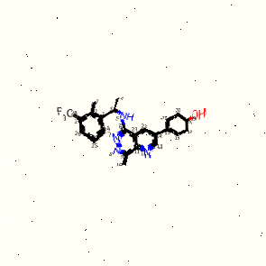 Cc1c([C@@H](C)Nc2nnc(C)c3ncc(C4=CCC(O)CC4)cc23)cccc1C(F)(F)F